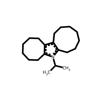 CC(C)n1c2c(c3c1CCCCCC3)CCCCCCC2